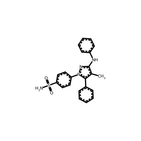 Cc1c(Nc2ccccc2)nn(-c2ccc(S(N)(=O)=O)cc2)c1-c1ccccc1